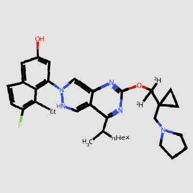 [2H]C([2H])(Oc1nc(C(C)CCCCCC)c2c(n1)=CN(c1cc(O)cc3ccc(F)c(CC)c13)NC=2)C1(CN2CCCC2)CC1